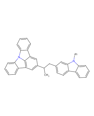 CC(Cc1ccc2c3ccccc3n(C(C)C)c2c1)c1cc2c3ccccc3n3c4ccccc4c(c1)c23